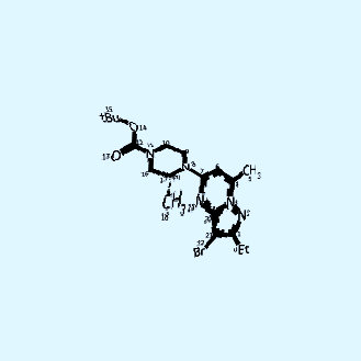 CCc1nn2c(C)cc(N3CCN(C(=O)OC(C)(C)C)C[C@H]3C)nc2c1Br